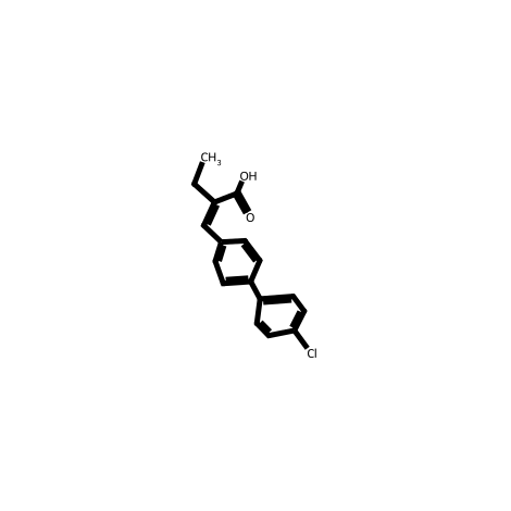 CCC(=Cc1ccc(-c2ccc(Cl)cc2)cc1)C(=O)O